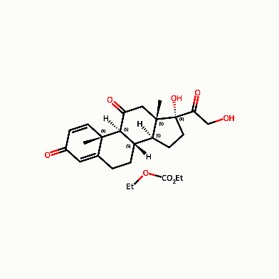 CCOC(=O)OCC.C[C@]12C=CC(=O)C=C1CC[C@@H]1[C@@H]2C(=O)C[C@@]2(C)[C@H]1CC[C@]2(O)C(=O)CO